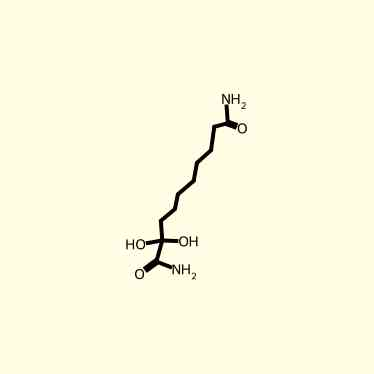 NC(=O)CCCCCCCC(O)(O)C(N)=O